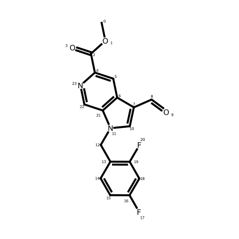 COC(=O)c1cc2c(C=O)cn(Cc3ccc(F)cc3F)c2cn1